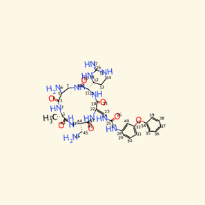 C[C@@H]1NC(=O)[C@@H](N)CNC(=O)[C@H](C2CCNC(=N)N2)NC(=O)/C(=C/NC(=O)Nc2cccc(Oc3ccccc3)c2)NC(=O)[C@H](CN)NC1=O